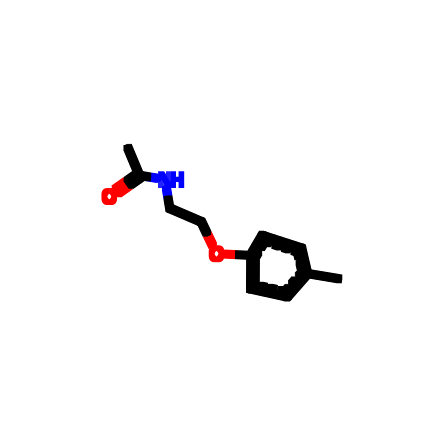 CC(=O)NCCOc1ccc(C)cc1